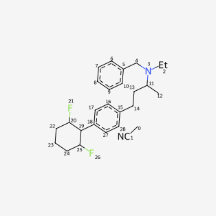 CC#N.CCN(Cc1ccccc1)C(C)CCc1ccc(C2C(F)CCCC2F)cc1